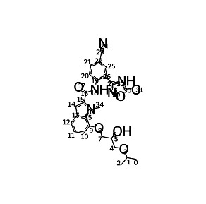 CC(C)OCC(O)COc1cccc2cc(C(=O)Nc3ccc(C#N)cc3-c3noc(=O)[nH]3)n(C)c12